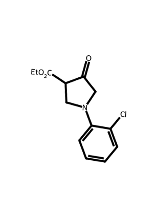 CCOC(=O)C1CN(c2ccccc2Cl)CC1=O